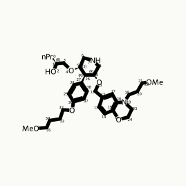 CCC[C@@H](O)CO[C@@H]1CNC[C@H](OCc2ccc3c(c2)N(CCCOC)CCO3)[C@H]1c1ccc(OCCCCOC)cc1